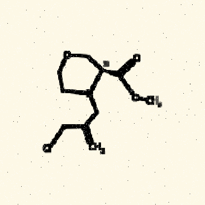 C=C(CCl)CN1CCOC[C@H]1C(=O)OC